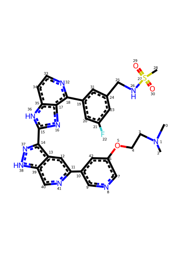 CN(C)CCOc1cncc(-c2cc3c(-c4nc5c(-c6cc(F)cc(CNS(C)(=O)=O)c6)nccc5[nH]4)n[nH]c3cn2)c1